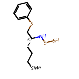 CSCCC[C@H](CSc1ccccc1)NSS